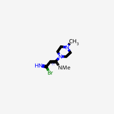 CN/C(=C\C(=N)Br)N1CCN(C)CC1